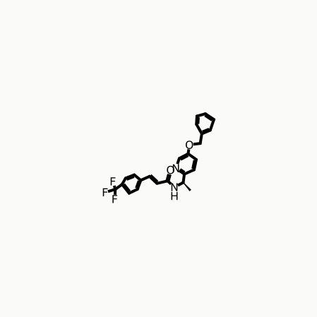 C[C@@H](NC(=O)C=Cc1ccc(C(F)(F)F)cc1)c1ccc(OCc2ccccc2)cn1